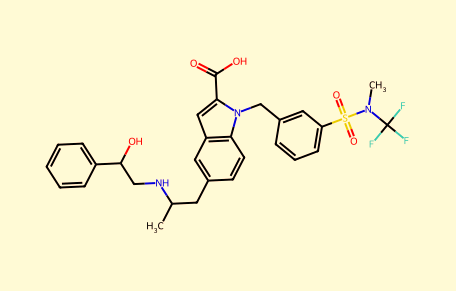 CC(Cc1ccc2c(c1)cc(C(=O)O)n2Cc1cccc(S(=O)(=O)N(C)C(F)(F)F)c1)NCC(O)c1ccccc1